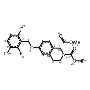 COC(=O)[C@H]1c2ccc(OCc3c(F)ccc(Cl)c3F)cc2CCN1C(=O)OC(C)C